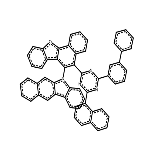 c1ccc(-c2cccc(-c3nc(-c4cccc5ccccc45)nc(-c4c(-n5c6ccccc6c6cc7ccccc7cc65)c5c6ccccc6oc5c5ccccc45)n3)c2)cc1